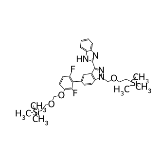 C[Si](C)(C)CCOCOc1ccc(F)c(-c2ccc3c(c2)c(-c2nc4ccccc4[nH]2)nn3COCC[Si](C)(C)C)c1F